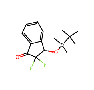 CC(C)(C)[Si](C)(C)O[C@@H]1c2ccccc2C(=O)C1(F)F